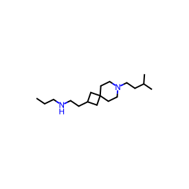 CCCNCCC1CC2(CCN(CCC(C)C)CC2)C1